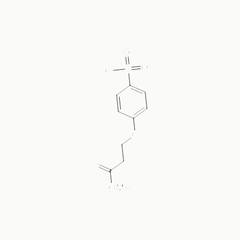 COC(=O)CCOc1ccc(S(=O)(=O)Cl)cc1